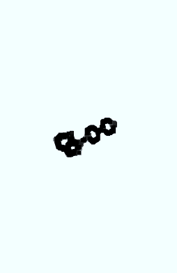 c1cnc2c(c1)cnn2N1CCC(N2CCOCC2)CC1